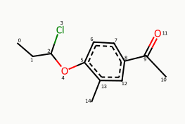 CCC(Cl)Oc1ccc(C(C)=O)cc1C